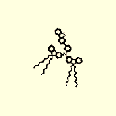 CCCCCCCCC1(CCCCCCCC)c2ccccc2-c2cc(N(c3cccc(-c4ccc5c(c4)sc4ccccc45)c3)c3ccc4c(c3)-c3ccccc3C4(CCCCCCCC)CCCCCCCC)ccc21